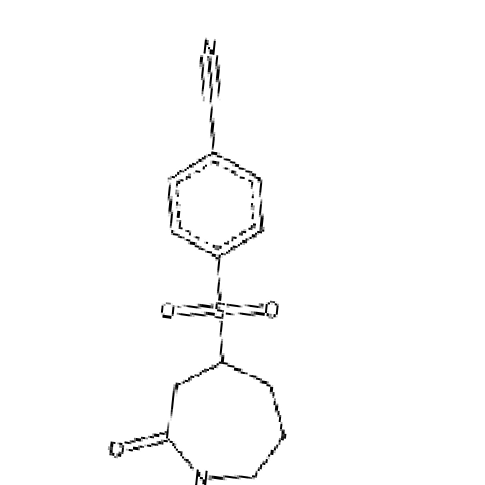 N#Cc1ccc(S(=O)(=O)C2CCCNC(=O)C2)cc1